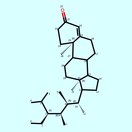 CC[C@@H](C(C)C)[C@H](C)[C@@H](C)[C@@H](C)C1CCC2C3CCC4=CC(=O)CC[C@]4(C)C3CC[C@@]21C